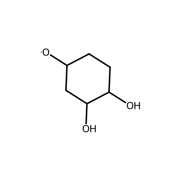 [O]C1CCC(O)C(O)C1